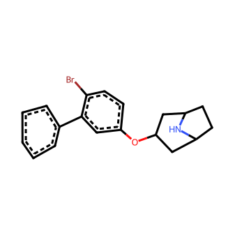 Brc1ccc(OC2CC3CCC(C2)N3)cc1-c1ccccc1